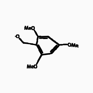 COc1cc(OC)c(C[O])c(OC)c1